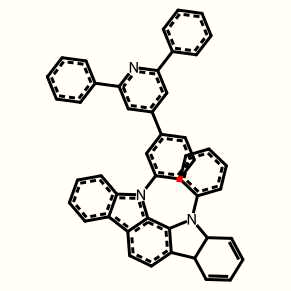 C1=CC2c3ccc4c5ccccc5n(-c5cccc(-c6cc(-c7ccccc7)nc(-c7ccccc7)c6)c5)c4c3N(c3ccccc3)C2C=C1